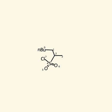 CCCCCC(C)S(=O)(=O)Cl